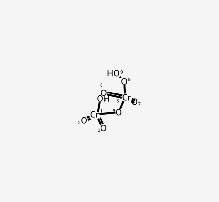 [O]=[Cr](=[O])([OH])[O][Cr](=[O])(=[O])[O]O